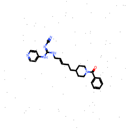 N#C/N=C(\NC/C=C/CCC1CCN(C(=O)c2ccccc2)CC1)Nc1ccncc1